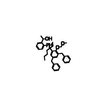 CCCCC(CC)(Pc1ccccc1C(C)O)c1cc(Cc2ccccc2)cc(Cc2ccccc2)c1OCOC